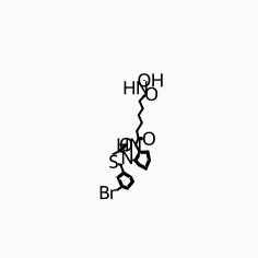 O=C(CCCCCC(=O)Nc1ccccc1N1C(=O)CSC1c1cccc(Br)c1)NO